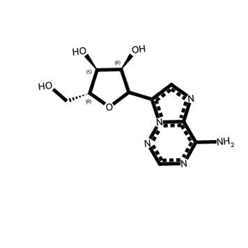 Nc1ncnn2c(C3O[C@H](CO)[C@@H](O)[C@H]3O)cnc12